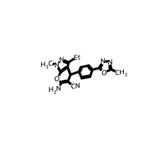 CCc1nn(C)c2c1C(c1ccc(-c3nnc(C)o3)cc1)C(C#N)=C(N)O2